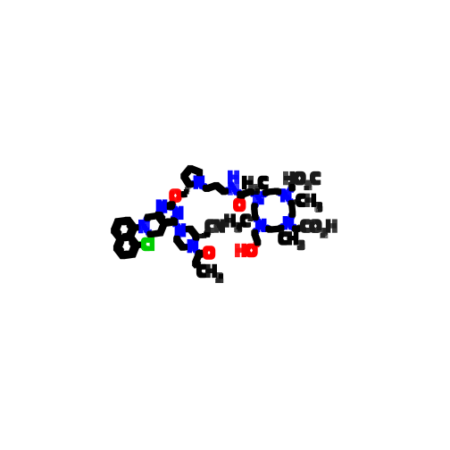 C=CC(=O)N1CCN(c2nc(OC[C@@H]3CCCN3CCCNC(=O)CN3C[C@@H](C)N(CCO)C[C@@H](C)N(CC(=O)O)C[C@@H](C)N(CC(=O)O)C[C@H]3C)nc3c2CCN(c2cccc4cccc(Cl)c24)C3)C[C@@H]1CC#N